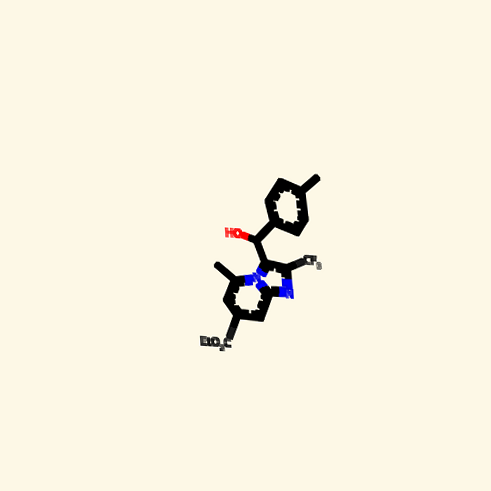 CCOC(=O)c1cc(C)n2c(C(O)c3ccc(C)cc3)c(C(F)(F)F)nc2c1